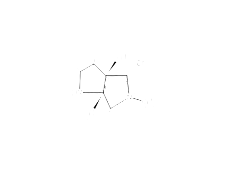 CC[C@@H]1N(C)C[C@@H]2NCC[C@@]21C